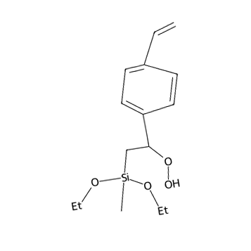 C=Cc1ccc(C(C[Si](C)(OCC)OCC)OO)cc1